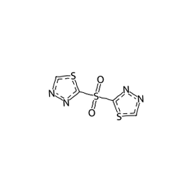 O=S(=O)(c1nncs1)c1nncs1